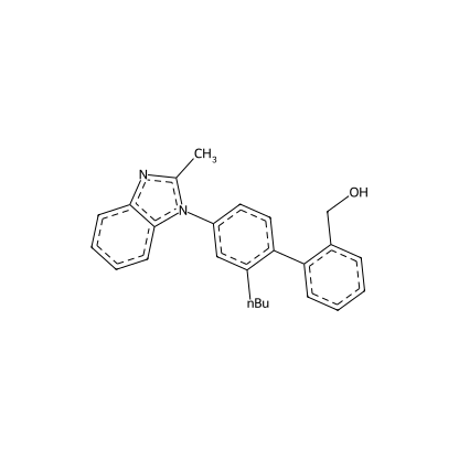 CCCCc1cc(-n2c(C)nc3ccccc32)ccc1-c1ccccc1CO